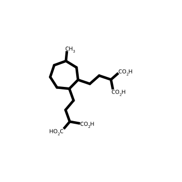 CC1CCCC(CCC(C(=O)O)C(=O)O)C(CCC(C(=O)O)C(=O)O)C1